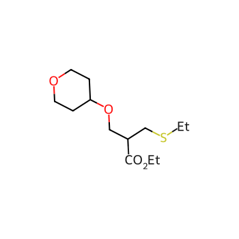 CCOC(=O)C(COC1CCOCC1)CSCC